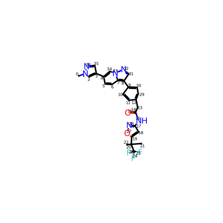 Cn1cc(-c2ccc3c(-c4ccc(CC(=O)Nc5cc(C(C)(C)C(F)(F)F)on5)cc4)cnn3c2)cn1